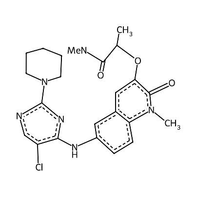 CNC(=O)C(C)Oc1cc2cc(Nc3nc(N4CCCCC4)ncc3Cl)ccc2n(C)c1=O